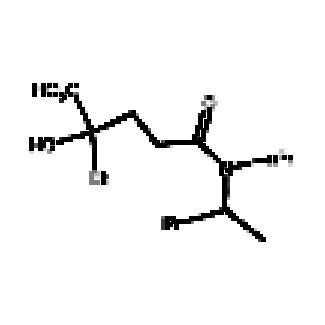 CCCN(C(=O)CCC(O)(CC)C(=O)O)C(C)C(C)C